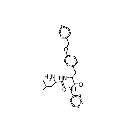 CC(C)CC(N)C(=O)NC(Cc1ccc(OCc2ccccc2)cc1)C(=O)Nc1cccnc1